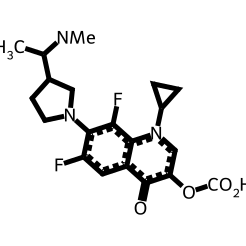 CNC(C)C1CCN(c2c(F)cc3c(=O)c(OC(=O)O)cn(C4CC4)c3c2F)C1